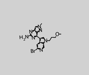 COCCCn1cc(-c2nc(N)nc3cn(C)nc23)c2cc(Br)ncc21